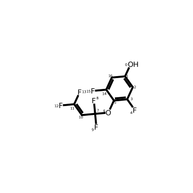 Oc1cc(F)c(OC(F)(F)C=C(F)F)c(F)c1